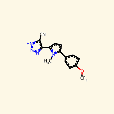 Cn1c(-c2ccc(OC(F)(F)F)cc2)ccc1-c1nn[nH]c1C#N